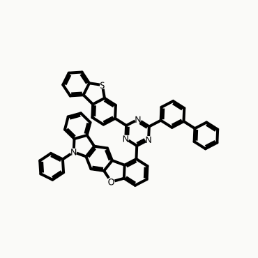 c1ccc(-c2cccc(-c3nc(-c4ccc5c(c4)sc4ccccc45)nc(-c4cccc5oc6cc7c(cc6c45)c4ccccc4n7-c4ccccc4)n3)c2)cc1